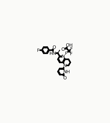 C[C@H](NC(=O)c1ccc(F)cc1)c1ccc2c(n1)CCCN2c1cccc(=O)[nH]1.O=C(O)C(F)(F)F